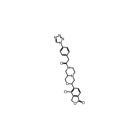 O=C1OCc2c1ccc(C1CN3CCN(C(=O)Cc4ccc(-n5cnnn5)cc4)CC3CO1)c2Cl